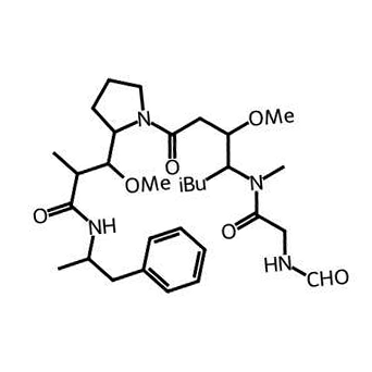 CCC(C)C(C(CC(=O)N1CCCC1C(OC)C(C)C(=O)NC(C)Cc1ccccc1)OC)N(C)C(=O)CNC=O